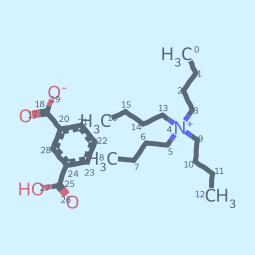 CCCC[N+](CCCC)(CCCC)CCCC.O=C([O-])c1cccc(C(=O)O)c1